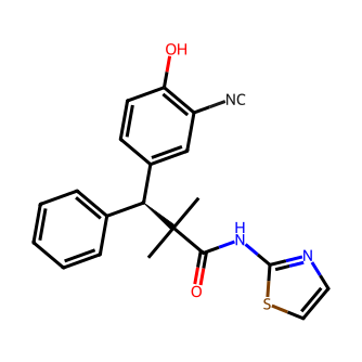 [C-]#[N+]c1cc([C@H](c2ccccc2)C(C)(C)C(=O)Nc2nccs2)ccc1O